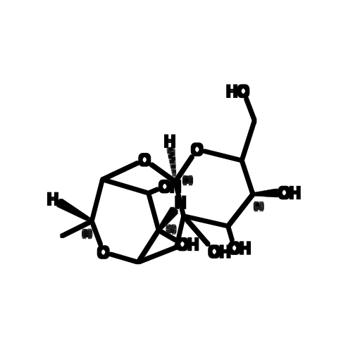 C[C@H]1OC2CC3(O)C(O)[C@H](O)C(CO)O[C@@H]3OC1C(O)[C@@H]2O